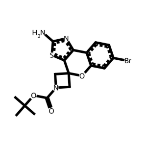 CC(C)(C)OC(=O)N1CC2(C1)Oc1cc(Br)ccc1-c1nc(N)sc12